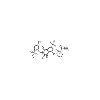 CCS(=O)(=O)c1ccc(Cl)cc1Cn1c(=O)[nH]c2c(Cl)c(CN3CCCC[C@@H]3C(N)=O)c(C(F)(F)F)cc2c1=O